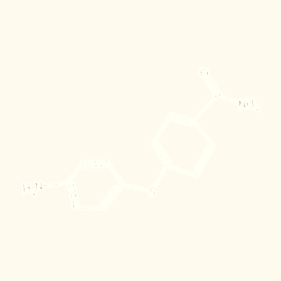 NC(=O)c1ccc(Sc2ccc(N)cc2)cc1